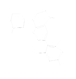 Cc1cc(Cl)cc(O)c1-c1cc2c(nn1)N([C@H]1CCCN(C)C1)CCN2C